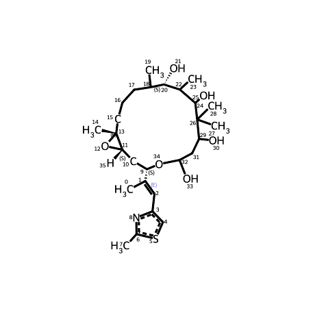 C/C(=C\c1csc(C)n1)[C@@H]1C[C@@H]2O[C@]2(C)CCCC(C)[C@H](O)C(C)C(O)C(C)(C)C(O)CC(O)O1